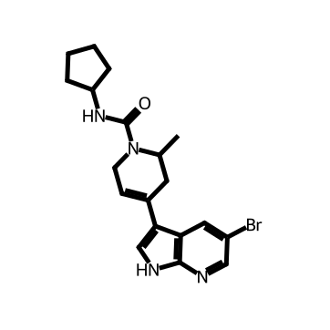 CC1CC(c2c[nH]c3ncc(Br)cc23)=CCN1C(=O)NC1CCCC1